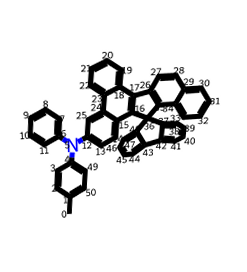 Cc1ccc(N(c2ccccc2)c2ccc3c4c(c5ccccc5c3c2)-c2ccc3ccccc3c2C42c3ccccc3-c3ccccc32)cc1